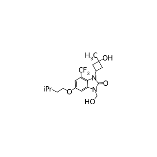 CC(C)CCOc1cc(C(F)(F)F)c2c(c1)n(CO)c(=O)n2C1CC(C)(O)C1